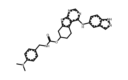 CN(C)c1ccc(CNC(=O)OC2CCc3c(sc4ncnc(Nc5ccc6[nH]ncc6c5)c34)C2)cc1